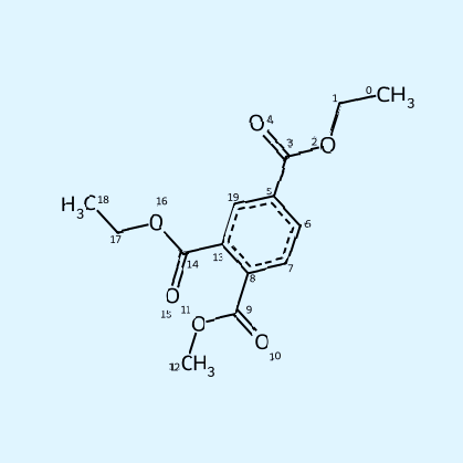 CCOC(=O)c1ccc(C(=O)OC)c(C(=O)OCC)c1